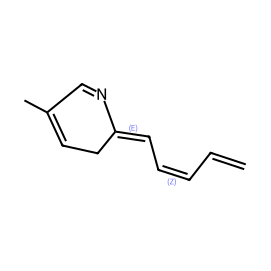 C=C/C=C\C=C1/CC=C(C)C=N1